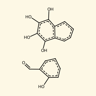 O=Cc1ccccc1O.Oc1c(O)c(O)c2ccccc2c1O